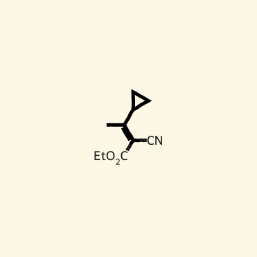 CCOC(=O)C(C#N)=C(C)C1CC1